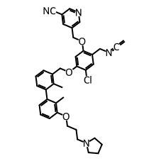 C=C=NCc1cc(Cl)c(OCc2cccc(-c3cccc(OCCCN4CCCC4)c3C)c2C)cc1OCc1cncc(C#N)c1